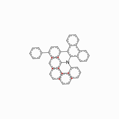 c1ccc(-c2ccc(-c3c(N(c4ccccc4-c4ccccc4)c4ccccc4-c4ccccc4)c4ccccc4c4ccccc34)cc2)cc1